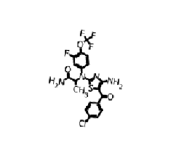 CC(C(N)=O)N(c1ccc(OC(F)(F)F)c(F)c1)c1nc(N)c(C(=O)c2ccc(Cl)cc2)s1